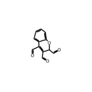 O=CC1=C(C=O)C(C=O)Oc2ccccc21